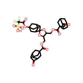 O=C1C2CC3CC(C(=O)OCC4OC5(OC4COC(=O)C46CC7CC(C4)C(=O)C6C7)C4CC6CC(OC(=O)C(F)(F)S(=O)(=O)O)(C4)CC65)(C2)CC13